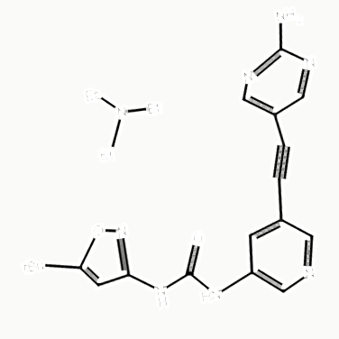 CC(C)(C)c1cc(NC(=O)Nc2cncc(C#Cc3cnc(N)nc3)c2)no1.CCN(CC)CC